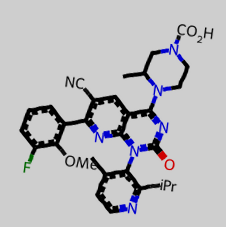 COc1c(F)cccc1-c1nc2c(cc1C#N)c(N1CCN(C(=O)O)CC1C)nc(=O)n2-c1c(C)ccnc1C(C)C